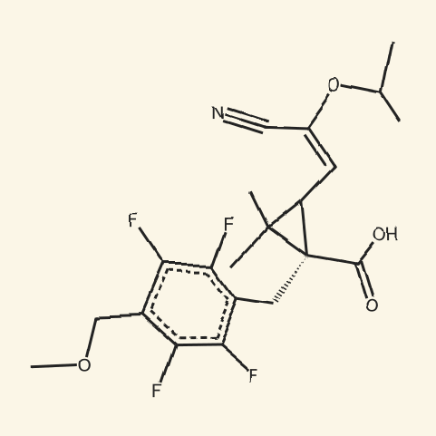 COCc1c(F)c(F)c(C[C@@]2(C(=O)O)C(/C=C(\C#N)OC(C)C)C2(C)C)c(F)c1F